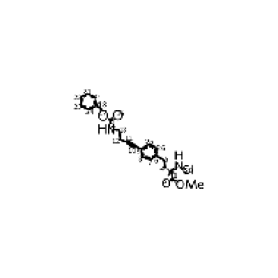 COC(=O)[C@H](CCc1ccc(C#CCCNC(=O)OCc2ccccc2)cc1)NCl